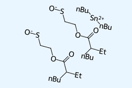 CCCCC(CC)C(=O)OCCS[O-].CCCCC(CC)C(=O)OCCS[O-].CCC[CH2][Sn+2][CH2]CCC